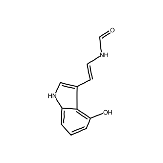 O=CNC=Cc1c[nH]c2cccc(O)c12